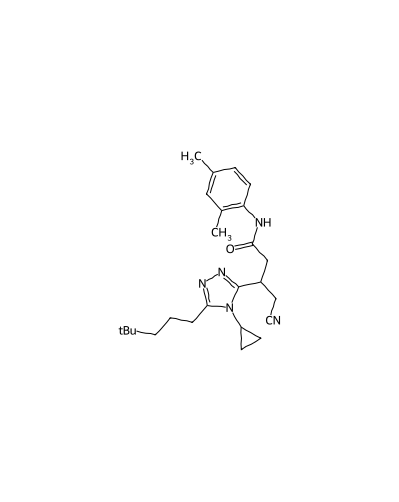 Cc1ccc(NC(=O)CC(CC#N)c2nnc(CCCC(C)(C)C)n2C2CC2)c(C)c1